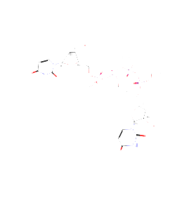 COP(=O)(OC[C@@H]1C[C@@H](O)[C@H](n2ccc(=O)[nH]c2=O)O1)OP(=O)(OC)OP(=O)(OC)OP(=O)(OC)OC[C@H]1O[C@@H](n2ccc(=O)[nH]c2=O)[C@H](O)[C@@H]1O